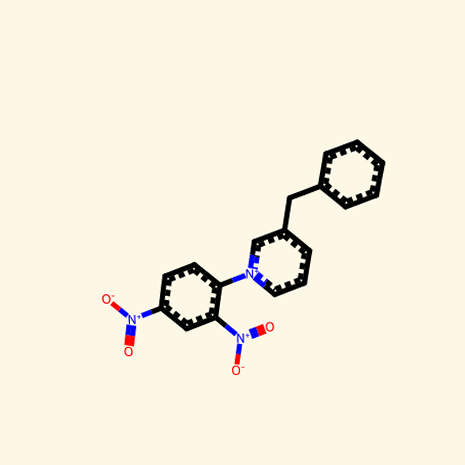 O=[N+]([O-])c1ccc(-[n+]2cccc(Cc3ccccc3)c2)c([N+](=O)[O-])c1